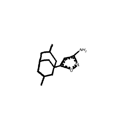 CC1CC2CC(C)CC(c3cc(N)no3)(C1)C2